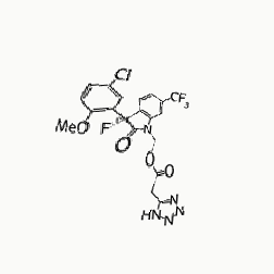 COc1ccc(Cl)cc1[C@]1(F)C(=O)N(COC(=O)Cc2nnn[nH]2)c2cc(C(F)(F)F)ccc21